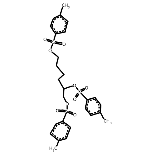 Cc1ccc(S(=O)(=O)OCCCCC(COS(=O)(=O)c2ccc(C)cc2)OS(=O)(=O)c2ccc(C)cc2)cc1